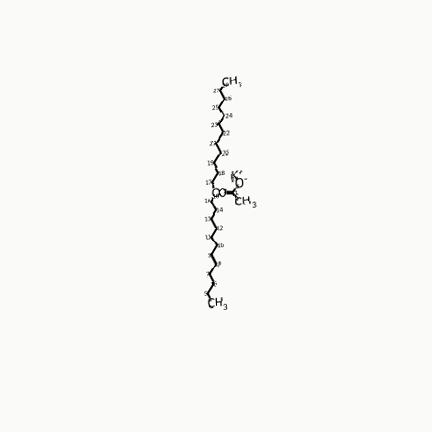 CC(=O)[O-].CCCCCCCCCCCCOCCCCCCCCCCCC.[K+]